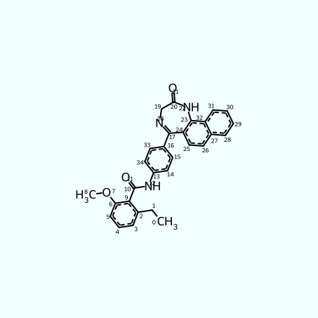 CCc1cccc(OC)c1C(=O)Nc1ccc(C2=NCC(=O)Nc3c2ccc2ccccc32)cc1